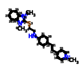 Cn1c(SCCNc2ccc(/C=C/c3cc[n+](C)cc3)cc2)[n+](C)c2ccccc21